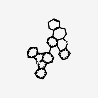 C1=CC2=C(CC1)c1ccc(-c3ccc4c5ccccc5n5c6ccccc6c3c45)c3c1C(CC2)Sc1ccccc1-3